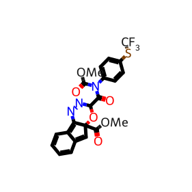 COC(=O)N(C(=O)C1N=NC2=c3ccccc3=CC2(C(=O)OC)O1)c1ccc(SC(F)(F)F)cc1